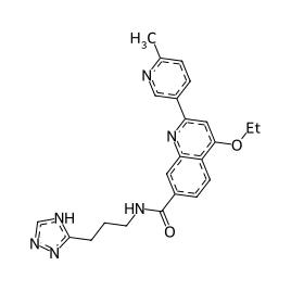 CCOc1cc(-c2ccc(C)nc2)nc2cc(C(=O)NCCCc3nnc[nH]3)ccc12